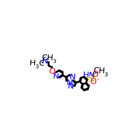 CON[S+]([O-])c1ccc(-c2cnn3cc(-c4ccc(OCCCN(C)C)nc4)cnc23)c2ccccc12